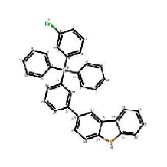 Brc1cccc([Si](c2ccccc2)(c2ccccc2)c2cccc(-c3ccc4sc5ccccc5c4c3)c2)c1